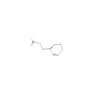 O=C(O)CCC1=CCCC=C1